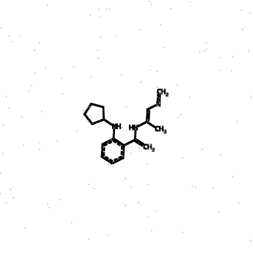 C=N/C=C(\C)NC(=C)c1ccccc1NC1CCCC1